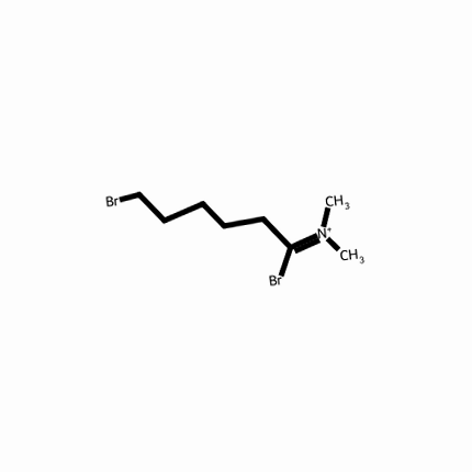 C[N+](C)=C(Br)CCCCCBr